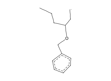 [CH2]CC(CCC)OCc1ccccc1